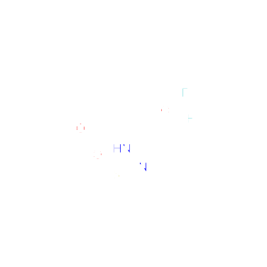 O=Cc1ccc(Sc2nc3ccc(OC(F)F)cc3[nH]2)o1